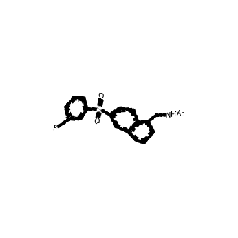 CC(=O)NCc1cccc2cc(S(=O)(=O)c3cccc(F)c3)ccc12